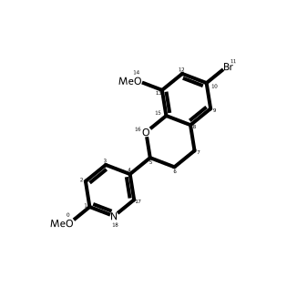 COc1ccc(C2CCc3cc(Br)cc(OC)c3O2)cn1